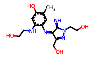 Cc1cc(N=C2C(=N)N(CCO)N=C2CO)c(NCCO)cc1O